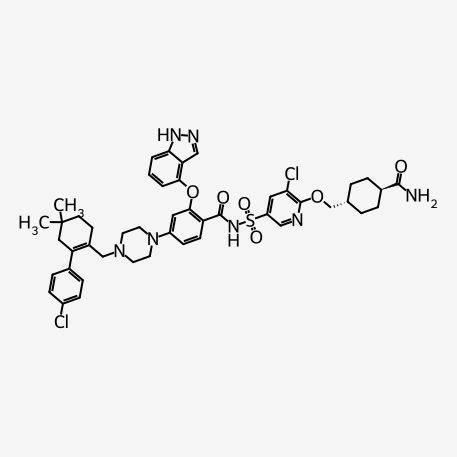 CC1(C)CCC(CN2CCN(c3ccc(C(=O)NS(=O)(=O)c4cnc(OC[C@H]5CC[C@H](C(N)=O)CC5)c(Cl)c4)c(Oc4cccc5[nH]ncc45)c3)CC2)=C(c2ccc(Cl)cc2)C1